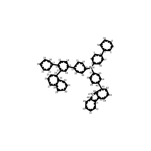 c1ccc(-c2ccc(N(c3ccc(-c4ccc(-c5ccccc5)c(-c5cccc6ccccc56)c4)cc3)c3ccc(-c4cccc5c4sc4ccccc45)cc3)cc2)cc1